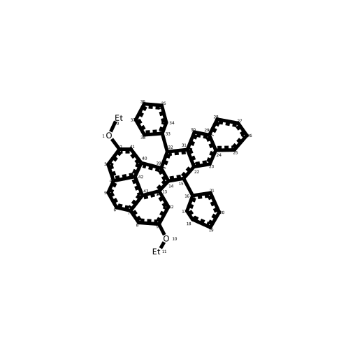 CCOc1cc2ccc3cc(OCC)cc4c5c(-c6ccccc6)c6cc7ccccc7cc6c(-c6ccccc6)c5c(c1)c2c34